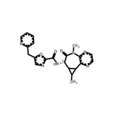 CC1C2c3nccnc3N(C)C(=O)[C@@H](NC(=O)c3ncc(Cc4ccccn4)o3)C12